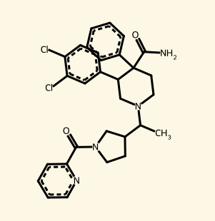 CC(C1CCN(C(=O)c2ccccn2)C1)N1CCC(C(N)=O)(c2ccccc2)C(c2ccc(Cl)c(Cl)c2)C1